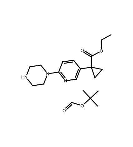 CC(C)(C)OC=O.CCOC(=O)C1(c2ccc(N3CCNCC3)nc2)CC1